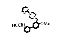 COc1ccc(-c2ccccc2)cc1CN1CCN(c2ncccn2)CC1.Cl.Cl